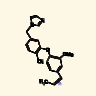 C/C=C\c1ccc(Oc2cc(Cn3ccnc3)ccc2C#N)c(OC)c1